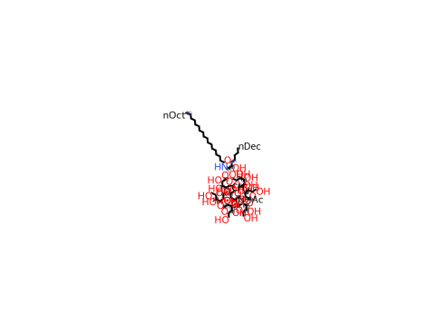 CCCCCCCC/C=C\CCCCCCCCCCCCCCCC(=O)N[C@@H](CO[C@@H]1OC(CO)[C@@H](O[C@@H]2OC(CO)[C@H](O)[C@H](O[C@H]3OC(CO)[C@H](O)[C@H](O[C@@H]4OC(CO)[C@H](O)[C@H](O[C@@H]5OC(CO)[C@H](O)[C@H](O[C@H]6OC(CO)[C@H](O)[C@H](O)C6O)C5O[C@H]5OC(C)[C@@H](O)C(O)[C@@H]5O)C4NC(C)=O)C3O)C2O)[C@H](O)C1O)[C@H](O)/C=C/CCCCCCCCCCCCC